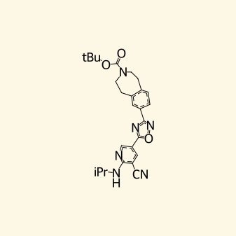 CC(C)Nc1ncc(-c2nc(-c3ccc4c(c3)CCN(C(=O)OC(C)(C)C)CC4)no2)cc1C#N